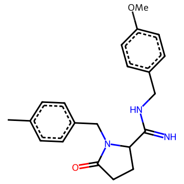 COc1ccc(CNC(=N)C2CCC(=O)N2Cc2ccc(C)cc2)cc1